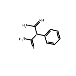 N=C(N)N(C(N)=S)c1ccccc1